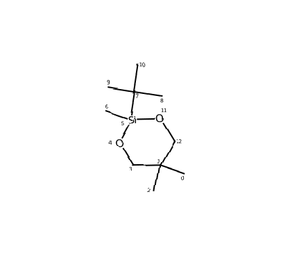 CC1(C)CO[Si](C)(C(C)(C)C)OC1